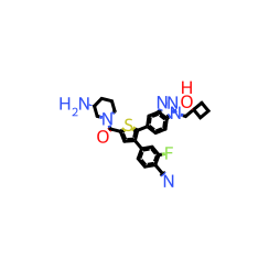 N#Cc1ccc(-c2cc(C(=O)N3CCC[C@@H](N)C3)sc2-c2ccc3c(c2)nnn3CC2(O)CCC2)cc1F